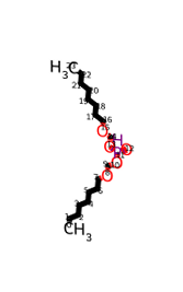 CCCCCCCCOCO[PH](=O)OCOCCCCCCCC